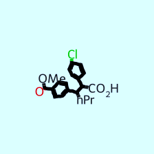 CCCC(c1ccc(C(=O)OC)cc1)C(C(=O)O)c1ccc(Cl)cc1